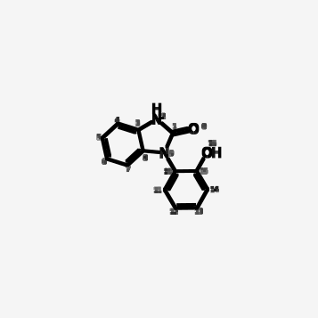 O=c1[nH]c2ccccc2n1-c1ccccc1O